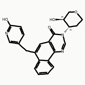 O=c1c2cc(Cc3ccc(O)nc3)c3ccccc3c2ncn1[C@H]1CCOC[C@@H]1O